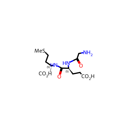 CSCC[C@H](NC(=O)[C@H](CCC(=O)O)NC(=O)CN)C(=O)O